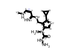 N=C(/C=C\NI)OCc1c(N(N)C(=O)NN)csc1C1CC1